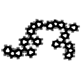 c1ccc(N(c2ccc(N(c3ccccc3)c3ccc4sc5cc(-c6ccc7sc8ccc(N(c9ccccc9)c9cccc(N(c%10ccccc%10)c%10ccc%11sc%12ccccc%12c%11c%10)c9)cc8c7c6)ccc5c4c3)cc2)c2ccc3sc4ccccc4c3c2)cc1